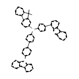 CC1(C)c2ccccc2-c2ccc(N(c3ccc(-c4ccc(-n5c6ccccc6c6ccccc65)cc4)cc3)c3ccc(-c4cccc5c4oc4ccccc45)cc3)cc21